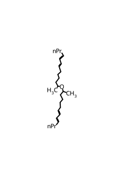 CCC/C=C/C=C/CCCCC(C)OC(C)CCCC/C=C/C=C/CCC